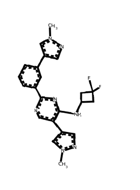 Cn1cc(-c2cccc(-c3ncc(-c4cnn(C)c4)c(NC4CC(F)(F)C4)n3)c2)cn1